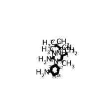 C=C/C=C(\C)N(/C(N)=N\N[C@@H](C)C(C)(C)C)c1cccc(N)c1